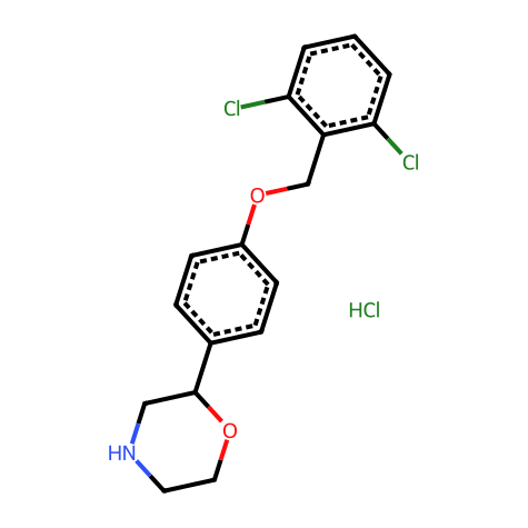 Cl.Clc1cccc(Cl)c1COc1ccc(C2CNCCO2)cc1